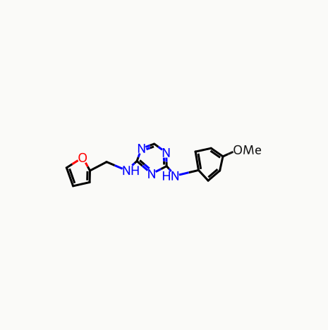 COc1ccc(Nc2ncnc(NCc3ccco3)n2)cc1